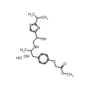 COC(=O)COc1ccc(CC(C)NCC(O)c2csc(C(C)C)n2)cc1.Cl.Cl